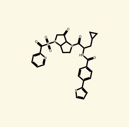 O=C(NC(CC1CC1)C(=O)N1CCC2C1C(=O)CN2S(=O)(=O)C(=O)c1ccccn1)c1ccc(-c2cccs2)cc1